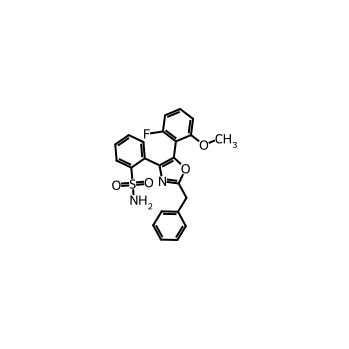 COc1cccc(F)c1-c1oc(Cc2ccccc2)nc1-c1ccccc1S(N)(=O)=O